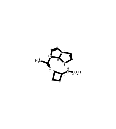 NC(=O)N1C=CN2C=CSC21.O=C(O)NC1CCC1